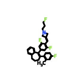 Cc1cc(F)ccc1C1=C(c2cc(F)c(C=C3CN(CCCF)C3)c(F)c2)c2ccccc2CCC1